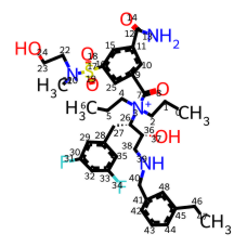 CCC[N+](CCC)(C(=O)c1cc(C(N)=O)cc(S(=O)(=O)N(C)CCO)c1)[C@@H](Cc1cc(F)cc(F)c1)[C@H](O)CNCc1cccc(CC)c1